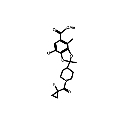 COC(=O)c1cc(Cl)c2c(c1C)OC(C)(C1CCN(C(=O)C3(F)CC3)CC1)O2